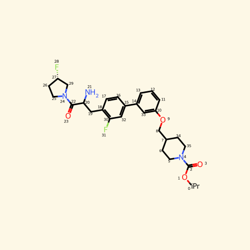 CC(C)OC(=O)N1CCC(COc2cccc(-c3ccc(CC(N)C(=O)N4CC[C@H](F)C4)c(F)c3)c2)CC1